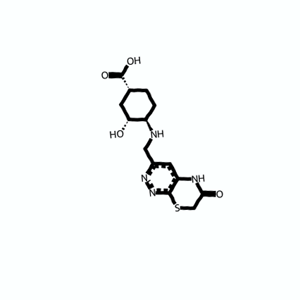 O=C1CSc2nnc(CN[C@@H]3CC[C@@H](C(=O)O)C[C@H]3O)cc2N1